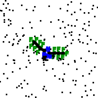 FC(F)(F)C(F)(F)C(F)(F)c1n[nH]c(C(F)(F)C(F)(F)C(F)(F)F)n1.[K]